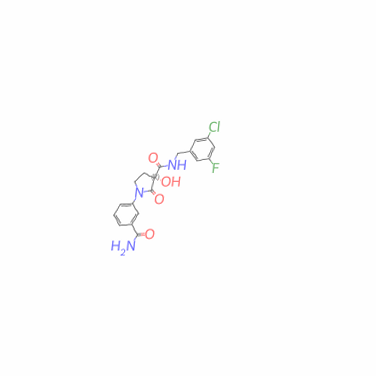 NC(=O)c1cccc(N2CC[C@@](O)(C(=O)NCc3cc(F)cc(Cl)c3)C2=O)c1